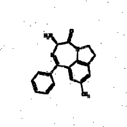 Cc1cc2c3c(c1)C(c1ccccc1)=N[C@@H](N)C(=O)N3CC2